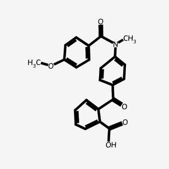 COc1ccc(C(=O)N(C)c2ccc(C(=O)c3ccccc3C(=O)O)cc2)cc1